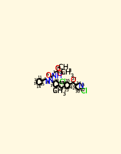 COC(CNC(=O)N(N=Cc1ccccc1)c1cc(C)c(Cc2ccc(C(=O)c3ccc(Cl)nc3)cc2)c(Cl)c1)OC